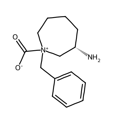 N[C@H]1CCCC[N+](Cc2ccccc2)(C(=O)[O-])C1